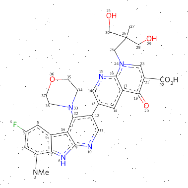 CNc1cc(F)cc2c1[nH]c1ncc(-c3cnc4c(c3)c(=O)c(C(=O)O)cn4CC(C)(CO)CO)c(N3CCOCC3)c12